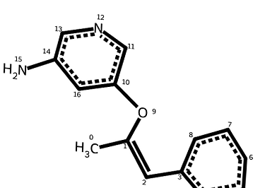 CC(=Cc1ccccc1)Oc1cncc(N)c1